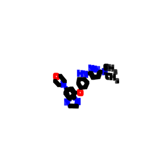 CN(C)c1ccc(N[C@H]2CC[C@@H](Oc3cc(N4CCOCC4)cc4nccnc34)CC2)nn1